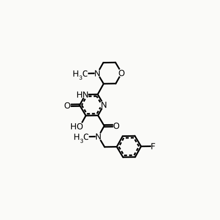 CN(Cc1ccc(F)cc1)C(=O)c1nc(C2COCCN2C)[nH]c(=O)c1O